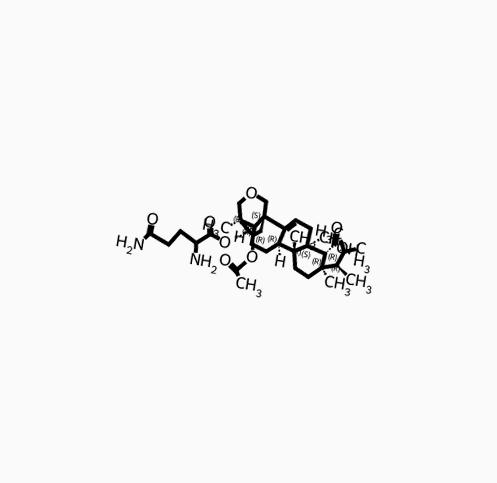 CC(=O)O[C@@H]1C[C@]23COC[C@@](C)([C@@H]2CC[C@H]2C3=CC[C@@]3(C)[C@H](C(=O)O)[C@@](C)([C@H](C)C(C)C)CC[C@]23C)[C@H]1OC(=O)C(N)CCC(N)=O